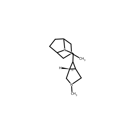 CN1CC2CCC(C1)N2CC1C2CN(C)C[C@@H]21